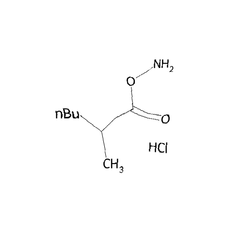 CCCCC(C)C(=O)ON.Cl